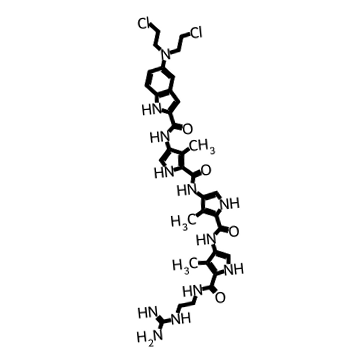 Cc1c(NC(=O)c2cc3cc(N(CCCl)CCCl)ccc3[nH]2)c[nH]c1C(=O)Nc1c[nH]c(C(=O)Nc2c[nH]c(C(=O)NCCNC(=N)N)c2C)c1C